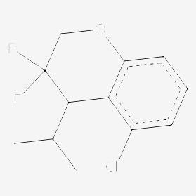 CC(C)C1c2c(Cl)cccc2OCC1(F)F